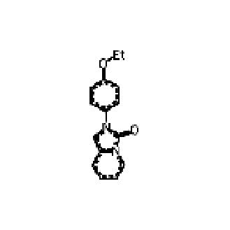 CCOc1ccc(-n2cc3ccccn3c2=O)cc1